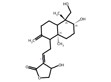 C=C1CCC2[C@@](C)(CC[C@@H](O)[C@@]2(C)CO)C1C/C=C1/C(=O)OCC1O